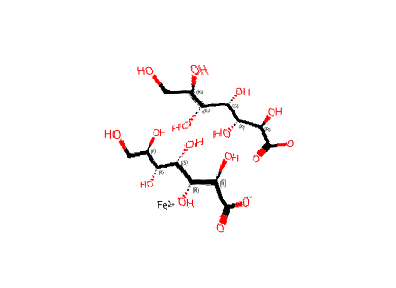 O=C([O-])[C@H](O)[C@H](O)[C@@H](O)[C@H](O)[C@H](O)CO.O=C([O-])[C@H](O)[C@H](O)[C@@H](O)[C@H](O)[C@H](O)CO.[Fe+2]